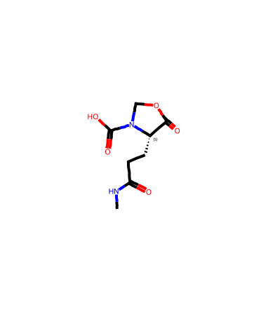 CNC(=O)CC[C@H]1C(=O)OCN1C(=O)O